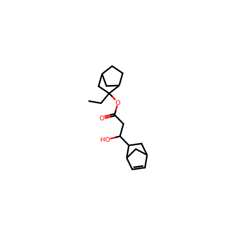 CCC1(OC(=O)CC(O)C2CC3C=CC2C3)CC2CCC1C2